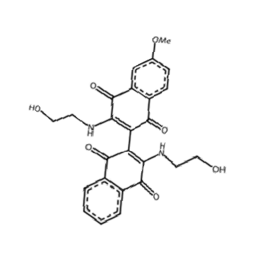 COc1ccc2c(c1)C(=O)C(NCCO)=C(C1=C(NCCO)C(=O)c3ccccc3C1=O)C2=O